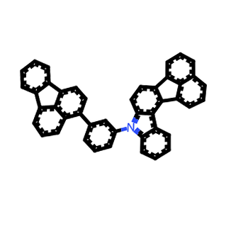 c1cc(-c2ccc3c4c(cccc24)-c2ccccc2-3)cc(-n2c3ccccc3c3c4c(ccc32)-c2cccc3cccc-4c23)c1